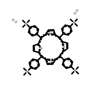 C[N+](C)(C)c1ccc(-c2c3nc(c(-c4ccc([N+](C)(C)C)cc4)c4ccc([nH]4)c(-c4ccc([N+](C)(C)C)cc4)c4nc(c(-c5ccc([N+](C)(C)C)cc5)c5ccc2[nH]5)C=C4)C=C3)cc1.[Cl-].[Cl-].[Cl-].[Cl-]